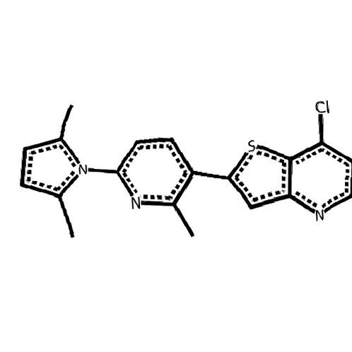 Cc1nc(-n2c(C)ccc2C)ccc1-c1cc2nccc(Cl)c2s1